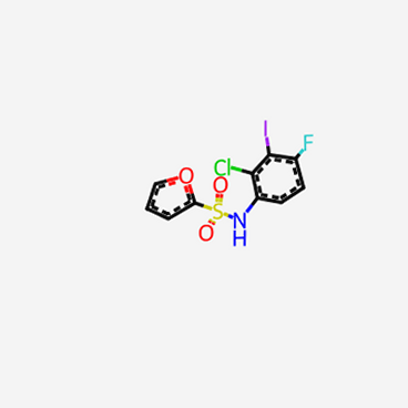 O=S(=O)(Nc1ccc(F)c(I)c1Cl)c1ccco1